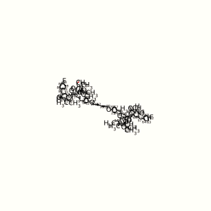 CC[C@@H](C(=O)N[C@@H](CCCc1ccc(OCC#CC#CCOc2ccc(CCC[C@H](NC(=O)[C@H](CC)N(C)C(=O)OC(C)(C)C)C(=O)N3CC(C)(C)c4[nH]c(=O)c(Cc5ccc(F)cc5)cc43)cc2)cc1)C(=O)N1CC(C)(C)c2[nH]c(=O)c(Cc3ccc(F)cc3)cc21)N(C)C(=O)OC(C)(C)C